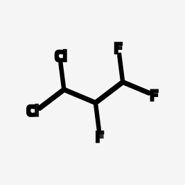 FC(F)C(F)C(Cl)Cl